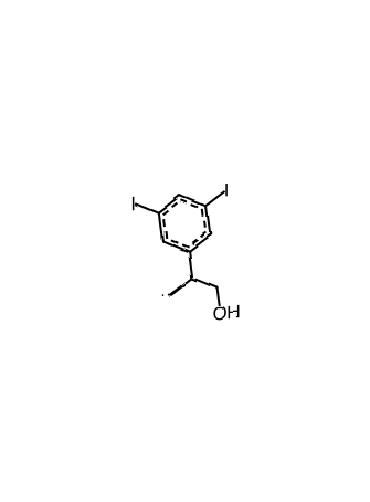 [CH2]C(CO)c1cc(I)cc(I)c1